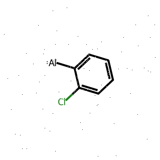 [Al][c]1ccccc1Cl